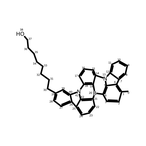 Cc1ccc2c3c1c1ccccc1n3-c1cccc3c1B2c1cccc2c4ccc(CCCCCCCCO)cc4n-3c12